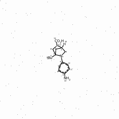 CC(C)(C)C12C[C@@H](CN1c1ccc(N)cc1)N(C(=O)O)C2